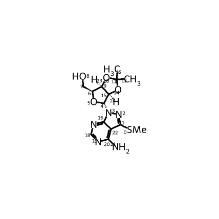 CSc1nn([C@@H]2O[C@@H](CO)[C@H]3OC(C)(C)O[C@H]32)c2ncnc(N)c12